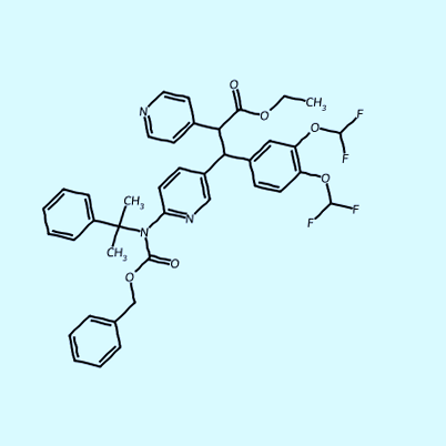 CCOC(=O)C(c1ccncc1)C(c1ccc(N(C(=O)OCc2ccccc2)C(C)(C)c2ccccc2)nc1)c1ccc(OC(F)F)c(OC(F)F)c1